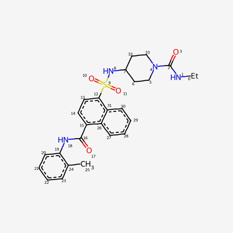 CCNC(=O)N1CCC(NS(=O)(=O)c2ccc(C(=O)Nc3ccccc3C)c3ccccc23)CC1